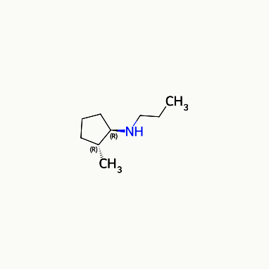 CCCN[C@@H]1CCC[C@H]1C